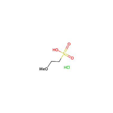 COCCS(=O)(=O)O.Cl